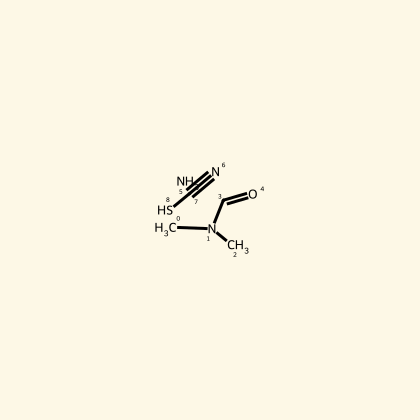 CN(C)C=O.N.N#CS